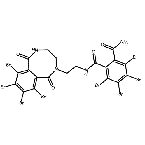 NC(=O)c1c(Br)c(Br)c(Br)c(Br)c1C(=O)NCCN1CCNC(=O)c2c(Br)c(Br)c(Br)c(Br)c2C1=O